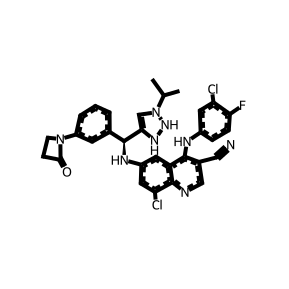 CC(C)N1C=C([C@@H](Nc2cc(Cl)c3ncc(C#N)c(Nc4ccc(F)c(Cl)c4)c3c2)c2cccc(N3CCC3=O)c2)NN1